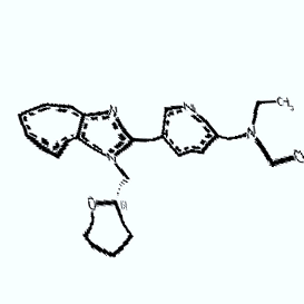 CCN(CC)c1ccc(-c2nc3ccccc3n2C[C@@H]2CCCO2)cn1